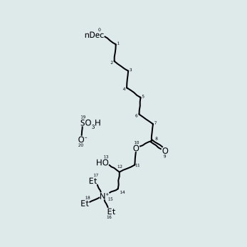 CCCCCCCCCCCCCCCCCC(=O)OCC(O)C[N+](CC)(CC)CC.O=S(=O)([O-])O